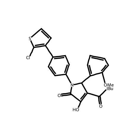 COc1ccccc1C1C(C(=O)C(C)(C)C)=C(O)C(=O)N1c1ccc(-c2ccsc2Cl)cc1